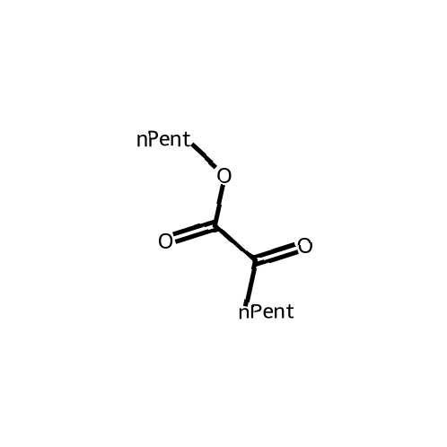 CCCCCOC(=O)C(=O)CCCCC